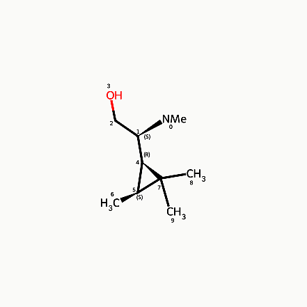 CN[C@H](CO)[C@@H]1[C@H](C)C1(C)C